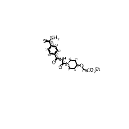 CCOC(=O)COC1CCN(C(=O)NC(=O)c2ccc(C(N)=S)cc2)CC1